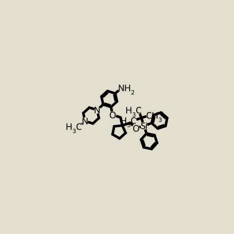 CN1CCN(c2ccc(N)cc2OCC2(CO[Si](c3ccccc3)(c3ccccc3)C(C)(C)C)CCCC2)CC1